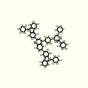 c1ccc(-c2cc(-c3ccc(-c4cc(-c5ccc6c(c5)c5ccccc5n6-c5ccccc5)nc5ccc(-c6ccc7c(c6)c6ccccc6n7-c6ccccc6)cc45)cc3)nc(-c3ccccc3)n2)cc1